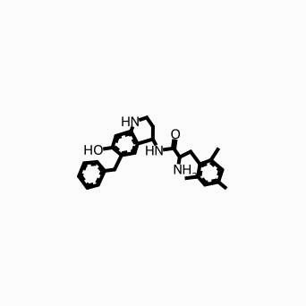 Cc1cc(C)c(CC(N)C(=O)NC2CCNc3cc(O)c(Cc4ccccc4)cc32)c(C)c1